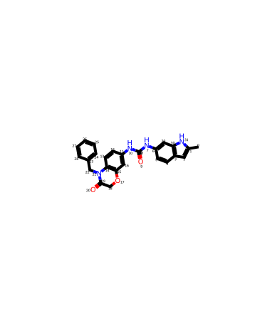 Cc1cc2ccc(NC(=O)Nc3ccc4c(c3)OCC(=O)N4Cc3ccccc3)cc2[nH]1